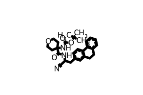 CC(C)(C)OC(=O)NC1(C(=O)NC(C#N)Cc2ccc3c(c2)CCc2ccccc2-3)CCOCC1